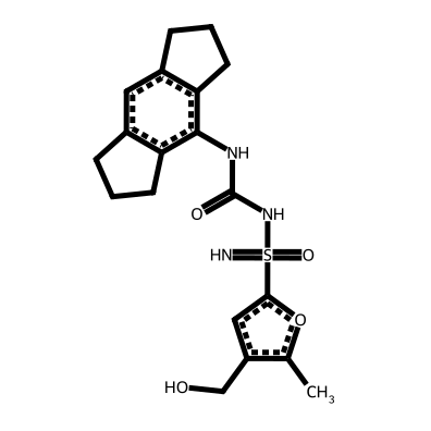 Cc1oc(S(=N)(=O)NC(=O)Nc2c3c(cc4c2CCC4)CCC3)cc1CO